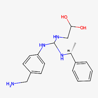 C[C@@H](NC(NCC(O)O)Nc1ccc(CN)cc1)c1ccccc1